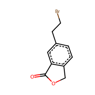 O=C1OCc2ccc(CCBr)cc21